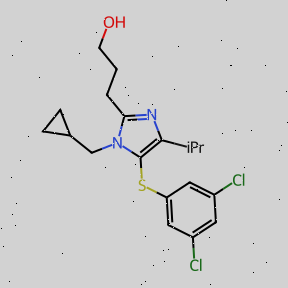 CC(C)c1nc(CCCO)n(CC2CC2)c1Sc1cc(Cl)cc(Cl)c1